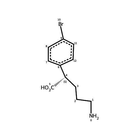 NCCC[C@H](C(=O)O)c1ccc(Br)cc1